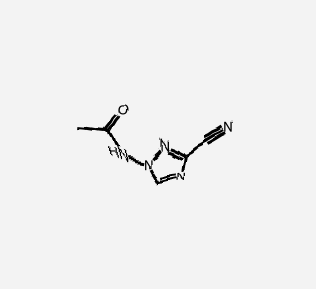 CC(=O)Nn1cnc(C#N)n1